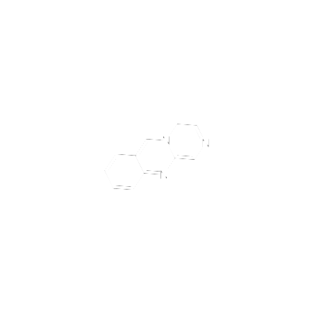 C1=NC=C2N=c3ccccc3=CN2C1